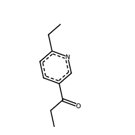 CCC(=O)c1ccc(CC)nc1